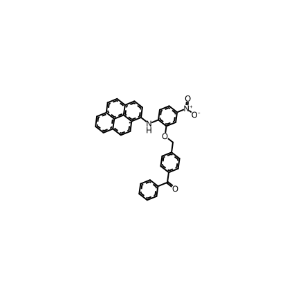 O=C(c1ccccc1)c1ccc(COc2cc([N+](=O)[O-])ccc2Nc2ccc3ccc4cccc5ccc2c3c45)cc1